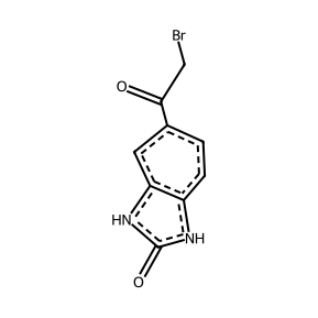 O=C(CBr)c1ccc2[nH]c(=O)[nH]c2c1